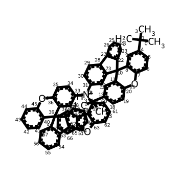 CC(C)(C)c1ccc2c(c1)C1(c3cc(C(C)(C)C)ccc3O2)c2ccccc2-c2ccc(N(c3ccc4c(c3)C3(c5ccccc5O4)c4ccccc4-c4ccccc43)c3cccc4oc5ccccc5c34)cc21